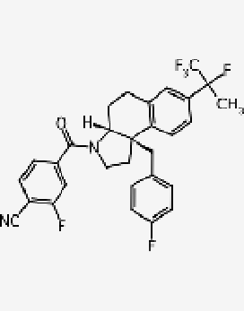 CC(F)(c1ccc2c(c1)CC[C@H]1N(C(=O)c3ccc(C#N)c(F)c3)CC[C@@]21Cc1ccc(F)cc1)C(F)(F)F